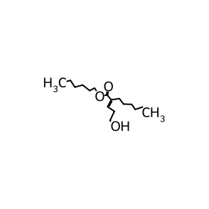 CCCCCCOC(=O)C(=CCCO)CCCCCC